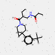 CCC(=O)NCC(CC)C(=O)N1CCC2(c3cccc(C(C)(C)C)c3)CC2C1